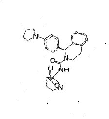 O=C(N[C@@H]1CN2CCC1CC2)N1CCc2ccccc2[C@@H]1c1ccc(N2CCCC2)cc1